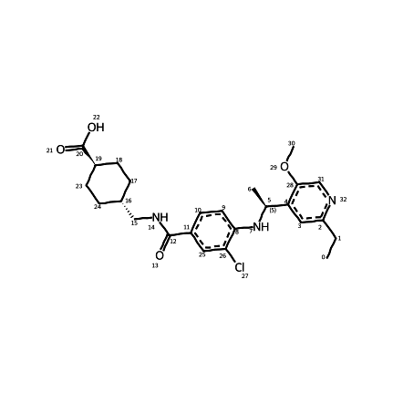 CCc1cc([C@H](C)Nc2ccc(C(=O)NC[C@H]3CC[C@H](C(=O)O)CC3)cc2Cl)c(OC)cn1